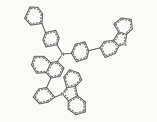 c1ccc(-c2ccc(N(c3ccc(-c4ccc5sc6ccccc6c5c4)cc3)c3ccc(-c4ccccc4-n4c5ccccc5c5ccccc54)c4ccccc34)cc2)cc1